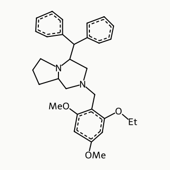 CCOc1cc(OC)cc(OC)c1CN1CC2CCCN2C(C(c2ccccc2)c2ccccc2)C1